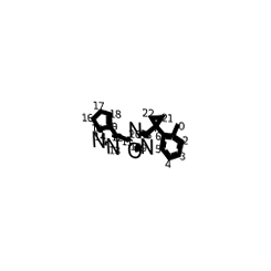 Cc1ccccc1C1(c2noc(C3=NN=C4CCC=C43)n2)CC1